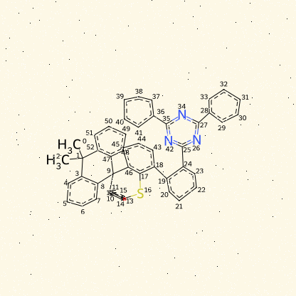 CC1(C)c2ccccc2C2(c3ccccc3Sc3c(-c4ccccc4-c4nc(-c5ccccc5)nc(-c5ccccc5)n4)cccc32)c2ccccc21